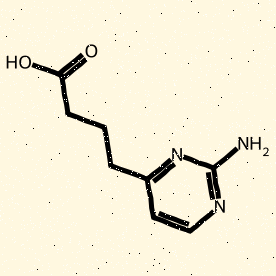 Nc1nccc(CCCC(=O)O)n1